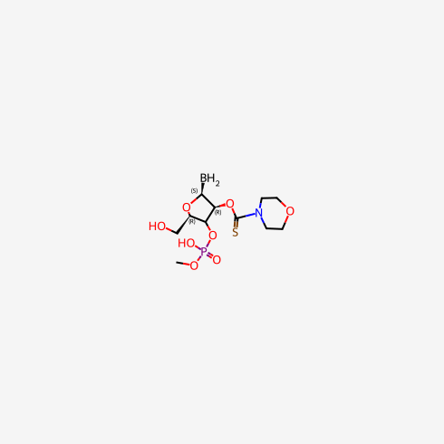 B[C@@H]1O[C@H](CO)C(OP(=O)(O)OC)[C@@H]1OC(=S)N1CCOCC1